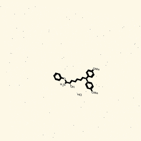 COc1ccc(C(CCCCC[C@H](O)C(N)Oc2ccccc2)c2ccc(OC)cc2)cc1.Cl